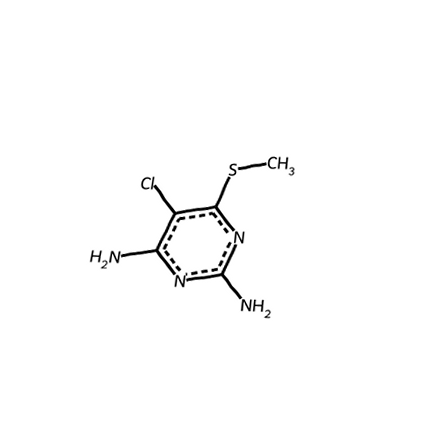 CSc1nc(N)nc(N)c1Cl